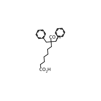 O=C(O)CCCCCCC(Cc1ccccc1)(Cc1ccccc1)C(=O)O